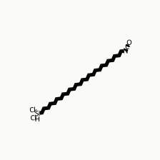 O=C=NCCCCCCCCCCCCCCCCCCCCCCCCCC[SiH](Cl)Cl